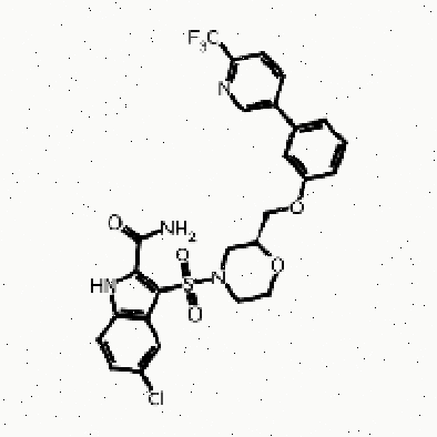 NC(=O)c1[nH]c2ccc(Cl)cc2c1S(=O)(=O)N1CCO[C@H](COc2cccc(-c3ccc(C(F)(F)F)nc3)c2)C1